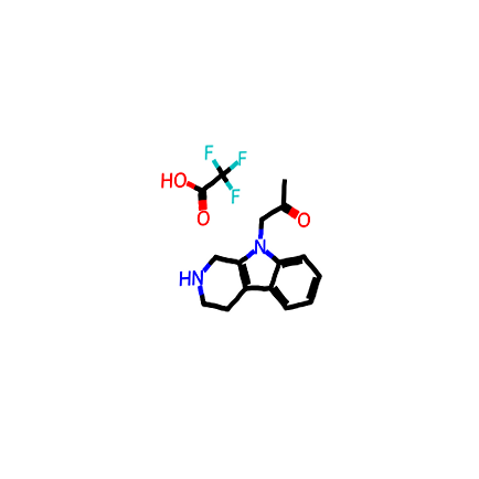 CC(=O)Cn1c2c(c3ccccc31)CCNC2.O=C(O)C(F)(F)F